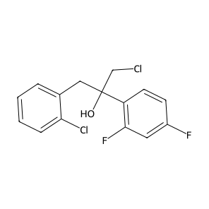 OC(CCl)(Cc1ccccc1Cl)c1ccc(F)cc1F